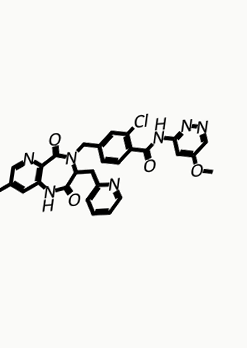 COc1cnnc(NC(=O)c2ccc(CN3C(=O)c4ncc(Cl)cc4NC(=O)C3Cc3ccccn3)cc2Cl)c1